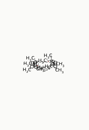 CCCCP(CCCC)(CCCC)(CCCCCCCCP(CCCC)(CCCC)(CCCC)OS(=O)(=O)c1c(C)cc(C)cc1C)OS(=O)(=O)c1c(C)cc(C)cc1C